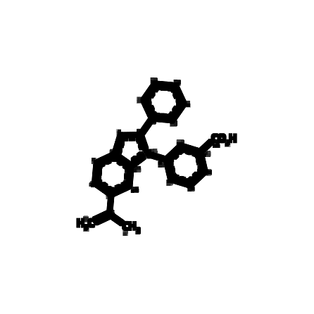 C=C(C)c1ccc2cc(-c3ccccc3)n(-c3cccc(C(=O)O)c3)c2c1